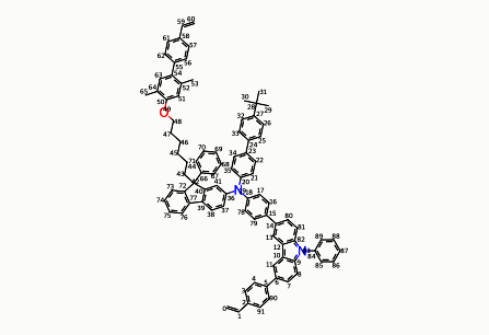 C=Cc1ccc(-c2ccc3c(c2)c2cc(-c4ccc(N(c5ccc(-c6ccc(C(C)(C)C)cc6)cc5)c5ccc6c(c5)C(CCCCCCOc5cc(C)c(-c7ccc(C=C)cc7)cc5C)(c5ccccc5)c5ccccc5-6)cc4)ccc2n3-c2ccccc2)cc1